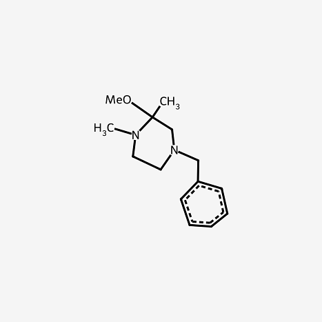 COC1(C)CN(Cc2ccccc2)CCN1C